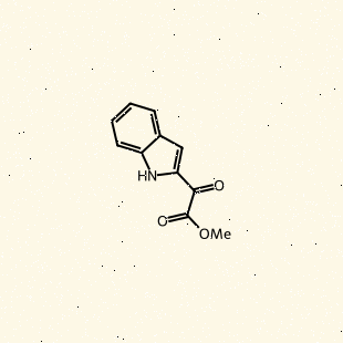 COC(=O)C(=O)c1cc2ccccc2[nH]1